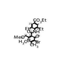 CCOC(=O)c1cc(CC)c(NC(=O)c2c(COC)n(C)c(C)c(Br)c2=O)c(CC)c1